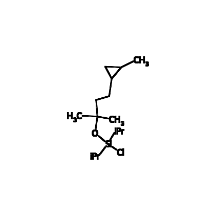 CC1CC1CCC(C)(C)O[Si](Cl)(C(C)C)C(C)C